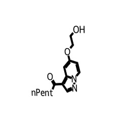 CCCCCC(=O)c1cnn2ccc(OCCO)cc12